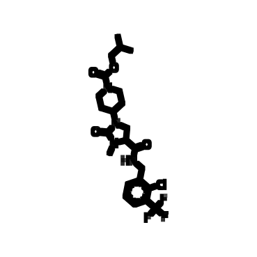 CC(C)COC(=O)N1CCC(N2CC(C(=O)NCc3cccc(C(F)(F)F)c3Cl)N(C)C2=O)CC1